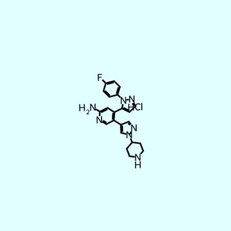 Cl.Nc1cc(-c2ccnn2-c2ccc(F)cc2)c(-c2cnn(C3CCNCC3)c2)cn1